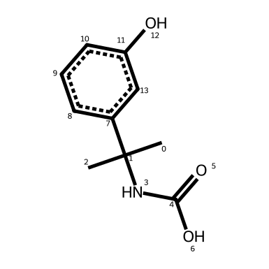 CC(C)(NC(=O)O)c1cccc(O)c1